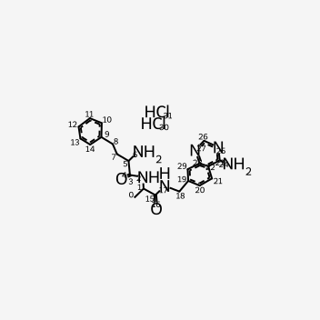 CC(NC(=O)C(N)CCc1ccccc1)C(=O)NCc1ccc2c(N)ncnc2c1.Cl.Cl